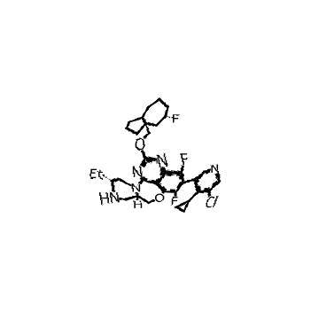 CC[C@@H]1CN2c3nc(OC[C@@]45CCCC4CCC[C@H](F)C5)nc4c(F)c(-c5cncc(Cl)c5C5CC5)c(F)c(c34)OC[C@@H]2CN1